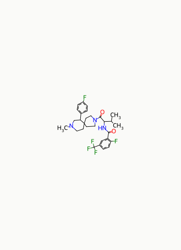 CC(C)C(NC(=O)c1cc(C(F)(F)F)ccc1F)C(=O)N1CCC2(CCN(C)CC2c2ccc(F)cc2)CC1